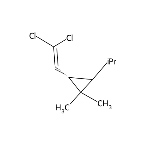 CC(C)C1[C@@H](C=C(Cl)Cl)C1(C)C